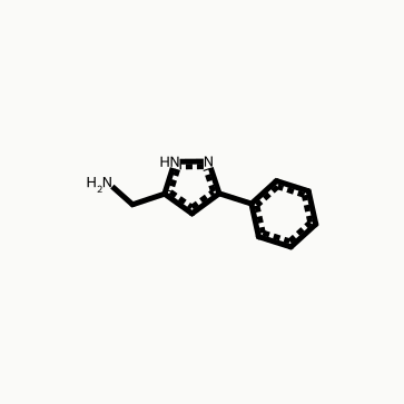 NCc1cc(-c2ccccc2)n[nH]1